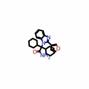 NC(=O)C(C1CCCCC1)(C1CCCCC1)n1c(-c2ccoc2)nc2ccccc21